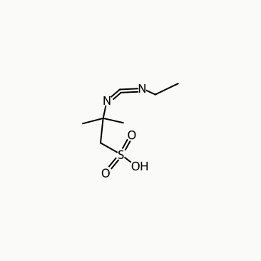 CCN=C=NC(C)(C)CS(=O)(=O)O